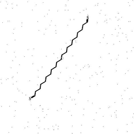 S=CCCCCCCCCC[CH]CCCCCCCCCC=S